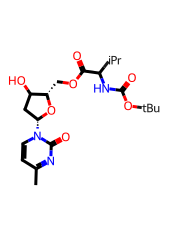 Cc1ccn([C@@H]2CC(O)[C@H](COC(=O)C(NC(=O)OC(C)(C)C)C(C)C)O2)c(=O)n1